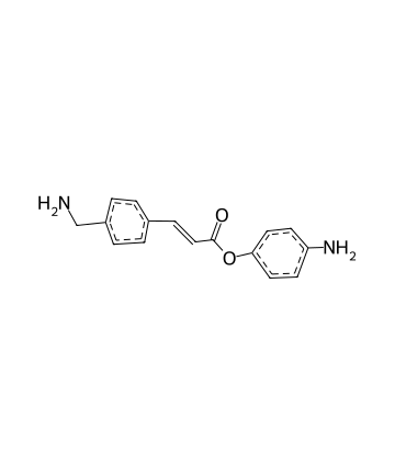 NCc1ccc(C=CC(=O)Oc2ccc(N)cc2)cc1